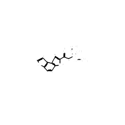 CO[PH](O)(CC(=O)c1cc2c(ccc3sccc32)s1)OC